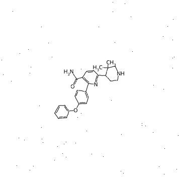 CC1(C)CNCCC1c1ccc(C(N)=O)c(-c2ccc(Oc3ccccc3)cc2)n1